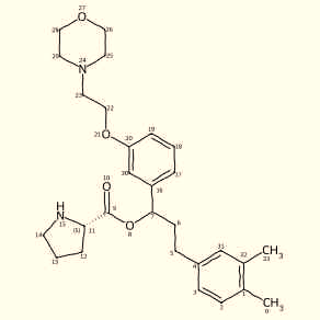 Cc1ccc(CCC(OC(=O)[C@@H]2CCCN2)c2cccc(OCCN3CCOCC3)c2)cc1C